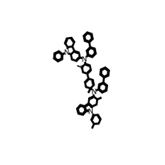 CC1C=C(n2c3c(c4ccccc42)C=C(N(c2cccc(-c4ccccc4)c2)C2(C)C=CC(C4=CC=C(N(C5=CCC6C(=C5)C5C=CC=CC5N6c5ccccc5)c5cccc(-c6ccccc6)c5)[C@H](C)C4)=CC2)C(C)C3)C=CC1